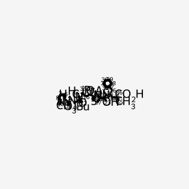 CC[C@H](C)[C@H](NC(=O)c1cccn1C)C(=O)N(C)[C@H](C[C@@H](OC(C)=O)c1nc(C(O)N[C@@H](Cc2ccccc2)C[C@H](C)C(=O)O)cs1)C(C)C